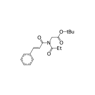 CCC(=O)N(CC(=O)OC(C)(C)C)C(=O)/C=C/c1ccccc1